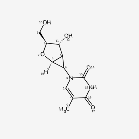 Cc1cn(C2C3[C@@H]2O[C@@H](CO)[C@@H]3O)c(=O)[nH]c1=O